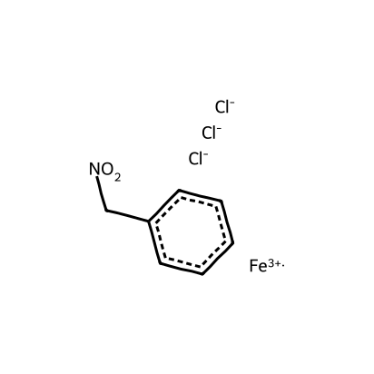 O=[N+]([O-])Cc1ccccc1.[Cl-].[Cl-].[Cl-].[Fe+3]